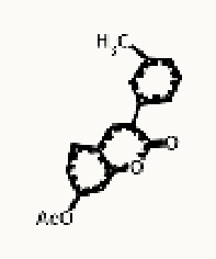 CC(=O)Oc1ccc2cc(-c3cccc(C)c3)c(=O)oc2c1